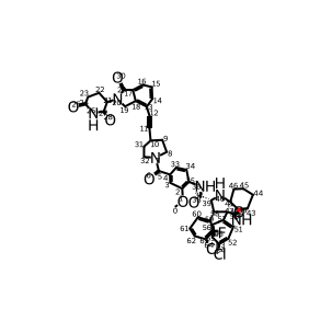 COc1cc(C(=O)N2CCC(C#Cc3cccc4c3CN(C3CCC(=O)NC3=O)C4=O)CC2)ccc1NC(=O)[C@@H]1NC2(CCCCC2)[C@@]2(C(=O)Nc3cc(Cl)ccc32)[C@H]1c1cccc(Cl)c1F